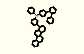 c1ccc(-c2ccccc2-c2ccc(N(c3ccccc3)c3cccc(-c4cccc5c4ccc4c6ccccc6ccc54)c3)cc2)cc1